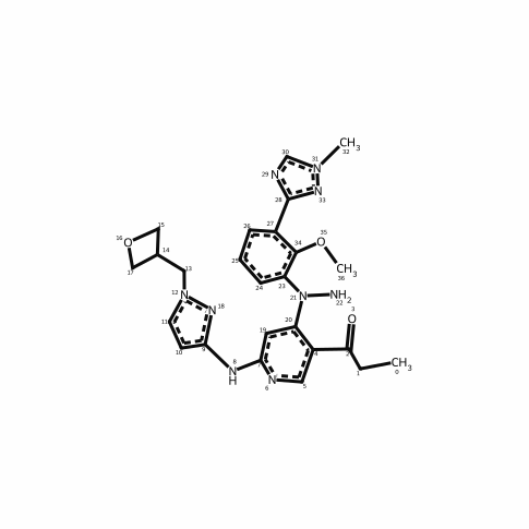 CCC(=O)c1cnc(Nc2ccn(CC3COC3)n2)cc1N(N)c1cccc(-c2ncn(C)n2)c1OC